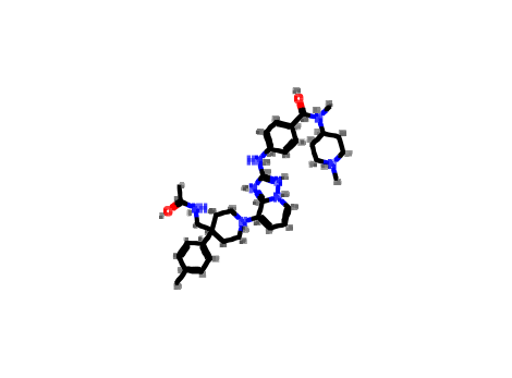 CC(=O)NCC1(c2ccc(C)cc2)CCN(c2cccn3nc(Nc4ccc(C(=O)N(C)C5CCN(C)CC5)cc4)nc23)CC1